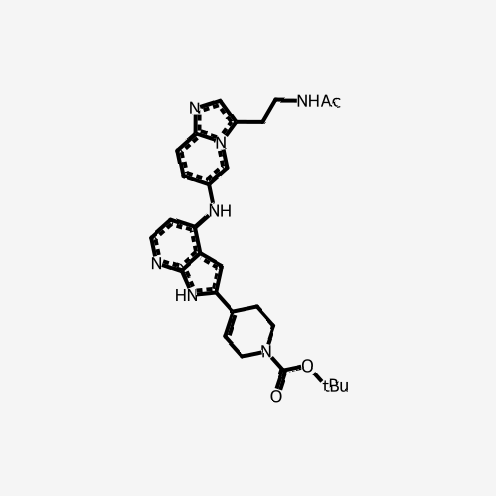 CC(=O)NCCc1cnc2ccc(Nc3ccnc4[nH]c(C5=CCN(C(=O)OC(C)(C)C)CC5)cc34)cn12